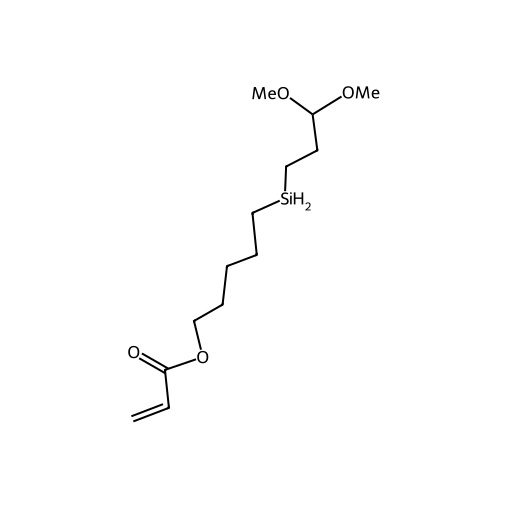 C=CC(=O)OCCCCC[SiH2]CCC(OC)OC